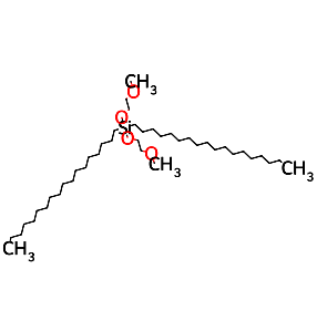 CCCCCCCCCCCCCCCCCC[Si](CCCCCCCCCCCCCCCCCC)(OCCOC)OCCOC